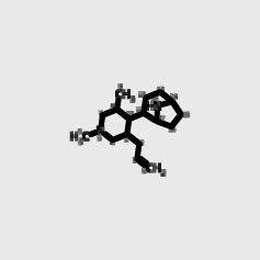 C=CCC1CN(C)CC(C)C1C1CCC2CCC1N2